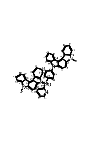 CN1c2ccc3c(c2C2C=CC=CC21)c1ccccc1n3-c1ccc(P(=O)(c2ccccn2)n2c3c(c4c5c6ccccc6n(C)c5ccc42)C=CCC3)cc1